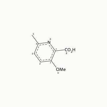 COc1ccc(C)nc1C(=O)O